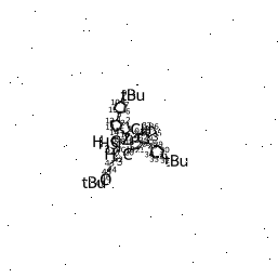 CC1=Cc2c(-c3ccc(C(C)(C)C)cc3)cccc2[CH]1[Zr]([CH]1C(C)=Cc2c1cc1c(c2-c2ccc(C(C)(C)C)cc2)CCC1)[SiH](C)CCCCCCOC(C)(C)C